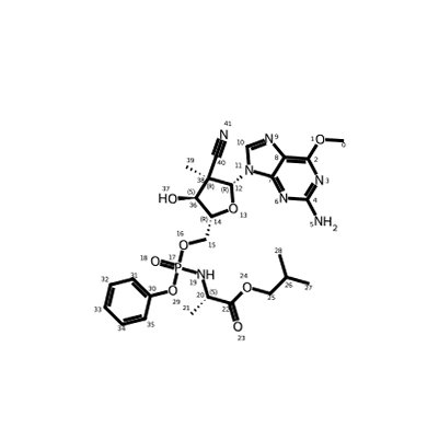 COc1nc(N)nc2c1ncn2[C@@H]1O[C@H](COP(=O)(N[C@@H](C)C(=O)OCC(C)C)Oc2ccccc2)[C@@H](O)[C@@]1(C)C#N